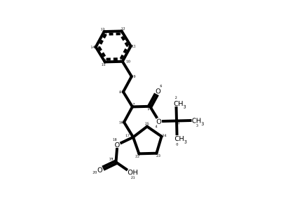 CC(C)(C)OC(=O)C(CCc1ccccc1)CC1(OC(=O)O)CCCC1